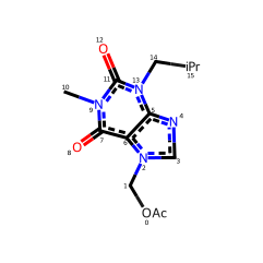 CC(=O)OCn1cnc2c1c(=O)n(C)c(=O)n2CC(C)C